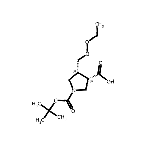 CCOOC[C@H]1CN(C(=O)OC(C)(C)C)C[C@H]1C(=O)O